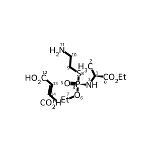 CCOC(=O)[C@H](C)N[P@](=O)(OCC)SCCN.O=C(O)/C=C/C(=O)O